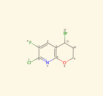 Fc1cc2c(nc1Cl)OCCC2Br